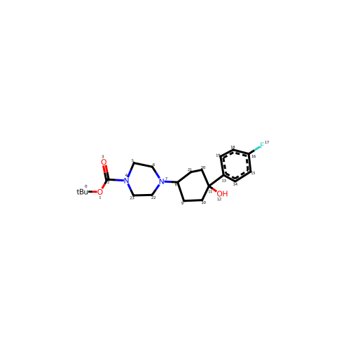 CC(C)(C)OC(=O)N1CCN(C2CCC(O)(c3ccc(F)cc3)CC2)CC1